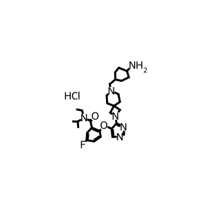 CCN(C(=O)c1cc(F)ccc1Oc1cncnc1N1CC2(CCN(CC3CCC(N)CC3)CC2)C1)C(C)C.Cl